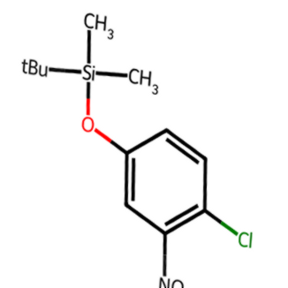 CC(C)(C)[Si](C)(C)Oc1ccc(Cl)c([N+](=O)[O-])c1